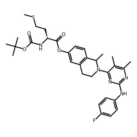 CSCC[C@H](NC(=O)OC(C)(C)C)C(=O)Oc1ccc2c(c1)CCN(c1nc(Nc3ccc(F)cc3)nc(C)c1C)C2C